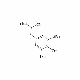 CCCCC(C#N)=Cc1cc(C(C)(C)C)c(O)c(C(C)(C)C)c1